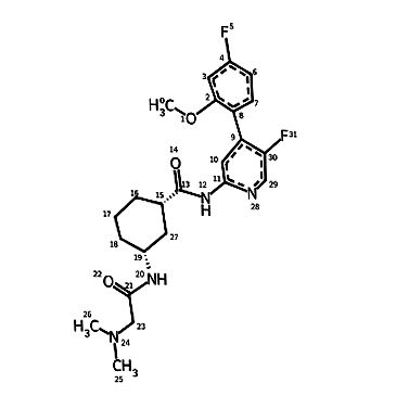 COc1cc(F)ccc1-c1cc(NC(=O)[C@H]2CCC[C@@H](NC(=O)CN(C)C)C2)ncc1F